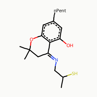 CCCCCc1cc(O)c2c(c1)OC(C)(C)CC2=NCC(C)S